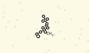 CC1C=Cc2c(c(-c3cccc4c3sc3cc(-c5c6ccccc6c(-c6ccccc6)c6ccccc56)ccc34)c3ccccc3c2-c2ccc(-c3cccc4c3C=CC=CC4)cc2)C1